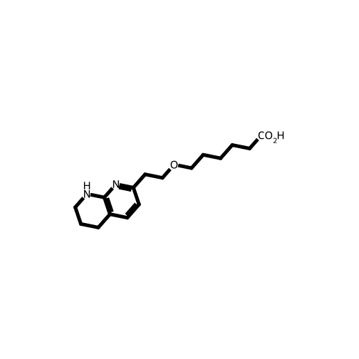 O=C(O)CCCCCOCCc1ccc2c(n1)NCCC2